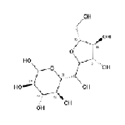 OC[C@H]1OC(C(O)[C@H]2OC(O)[C@H](O)[C@@H](O)[C@@H]2O)[C@@H](O)[C@@H]1O